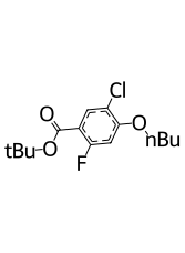 CCCCOc1cc(F)c(C(=O)OC(C)(C)C)cc1Cl